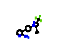 Nc1ncccc1-c1ccc(-n2nc(C(F)(F)F)cc2C2CC2)cc1